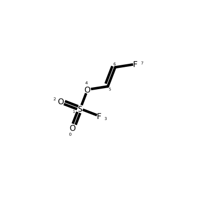 O=S(=O)(F)OC=CF